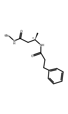 C[C@H](CC(=O)NC(C)(C)C)NC(=O)CCc1ccccc1